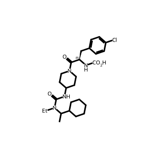 CCN(C(=O)NC1CCN(C(=O)[C@@H](Cc2ccc(Cl)cc2)NC(=O)O)CC1)C(C)C1CCCCC1